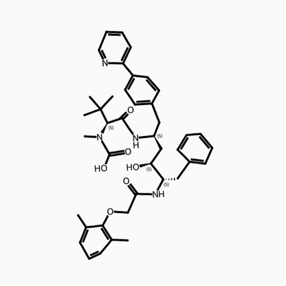 Cc1cccc(C)c1OCC(=O)N[C@@H](Cc1ccccc1)[C@@H](O)C[C@H](Cc1ccc(-c2ccccn2)cc1)NC(=O)[C@@H](N(C)C(=O)O)C(C)(C)C